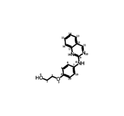 OCCOc1ccc(Nc2ncc3ccccc3n2)cc1